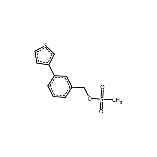 CS(=O)(=O)OCc1cccc(-c2ccsc2)c1